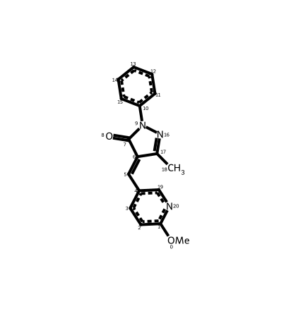 COc1ccc(/C=C2/C(=O)N(c3ccccc3)N=C2C)cn1